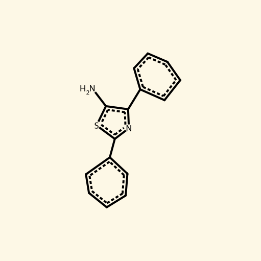 Nc1sc(-c2ccccc2)nc1-c1ccccc1